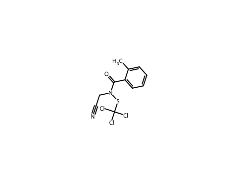 Cc1ccccc1C(=O)N(CC#N)SC(Cl)(Cl)Cl